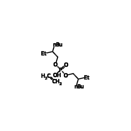 C=C.CCCCC(CC)COP(=O)(O)OCC(CC)CCCC